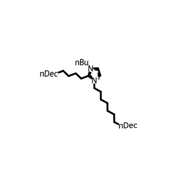 CCCCCCCCCCCCCCCCC[n+]1ccn(CCCC)c1CCCCCCCCCCCCCC